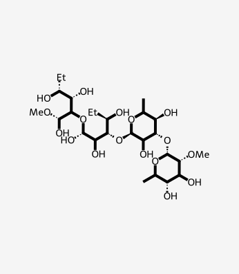 CC[C@@H](O)[C@H](O)C(O[C@@H](O)C(O)[C@@H](O[C@H]1OC(C)[C@@H](O)[C@H](O[C@H]2OC(C)[C@@H](O)C(O)[C@H]2OC)C1O)[C@H](O)CC)[C@H](O)OC